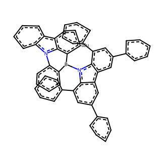 CC(C)(C)c1ccc2c3ccccc3n3c2c1B(n1c2c(-c4ccccc4)cc(-c4ccccc4)cc2c2cc(-c4ccccc4)cc(-c4ccccc4)c21)c1ccccc1-3